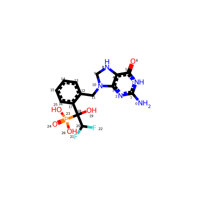 Nc1nc2c(c(=O)[nH]1)NCN2Cc1ccccc1C(O)(C(F)F)P(=O)(O)O